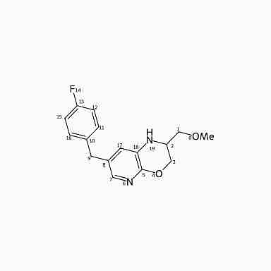 COCC1COc2ncc(Cc3ccc(F)cc3)cc2N1